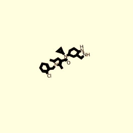 CC1=C(C(=O)N(C2CC2)C2CCC3NNCC3C2)CC(C)N1CC1=CCCC=C1Cl